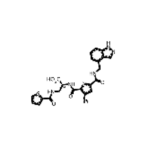 CC(C)c1cc(C(=O)NCc2cccc3[nH]ncc23)sc1C(=O)N[C@@H](CNC(=O)c1cccs1)C(=O)O